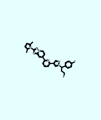 Cc1ccc(C)n1-c1nc2cc(-c3cccc(-c4cnn(C(CCF)c5ccc(F)cc5)c4)n3)ccn2n1